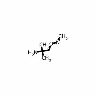 C=NOCC(C)(C)N